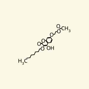 CCCCCCCCOc1c(O)c2ccc(OCCOC(C)=O)cc2oc1=O